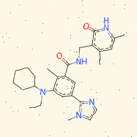 CCN(c1cc(-c2nccn2C)cc(C(=O)NCc2c(C)cc(C)[nH]c2=O)c1C)C1CCCCC1